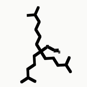 CC(C)CCCCC(CCCC(C)C)(CCCC(C)C)O[SiH3]